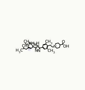 C=C(/C=C(/CC(C)C)N(N)CC)c1nnc(-c2cc(C)c(CCN3CCC(C(=O)O)CC3)c(C)c2)[nH]1